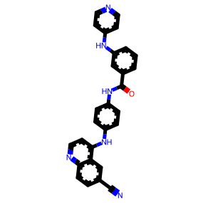 N#Cc1ccc2nccc(Nc3ccc(NC(=O)c4cccc(Nc5ccncc5)c4)cc3)c2c1